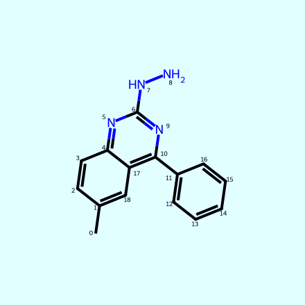 Cc1ccc2nc(NN)nc(-c3ccccc3)c2c1